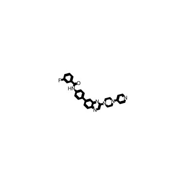 O=C(Nc1ccc(-c2ccc3ncc(N4CCN(c5ccncc5)CC4)nc3c2)cc1)c1cccc(F)c1